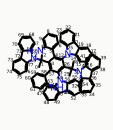 CC(C)(c1c(-c2ccccc2N)c(-n2c3ccccc3c3ccccc32)c(C(C)(C)n2c3ccccc3c3ccccc32)c(-n2c3ccccc3c3ccccc32)c1-c1ccccc1N)n1c2ccccc2c2ccccc21